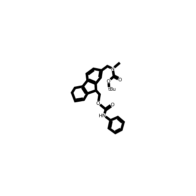 CN(Cc1ccc2c(c1)C(COC(=O)Nc1ccccc1)C1=C2CCC=C1)C(=O)OC(C)(C)C